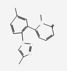 Cn1c(-c2cc(Cl)ccc2-n2cc(Cl)nn2)cccc1=O